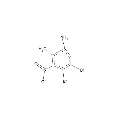 Cc1c(N)cc(Br)c(Br)c1[N+](=O)[O-]